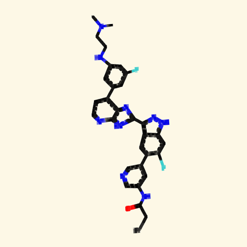 CC(C)CC(=O)Nc1cncc(-c2cc3c(-c4nc5c(-c6cc(F)cc(NCCN(C)C)c6)ccnc5[nH]4)n[nH]c3cc2F)c1